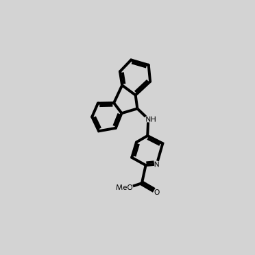 COC(=O)c1ccc(NC2c3ccccc3-c3ccccc32)cn1